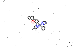 Cc1cc2[n+](cc1C)C1(c3ccc4c(oc5c6c(ccc54)CC=C6)c3-2)C2c3ccccc3-c3cccc[n+]3C21